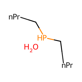 CCCCPCCCC.O